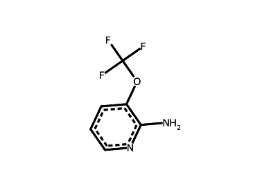 Nc1ncccc1OC(F)(F)F